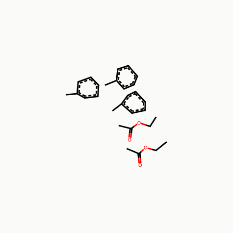 CCOC(C)=O.CCOC(C)=O.Cc1ccccc1.Cc1ccccc1.Cc1ccccc1